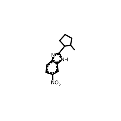 CC1CCCC1c1nc2ccc([N+](=O)[O-])cc2[nH]1